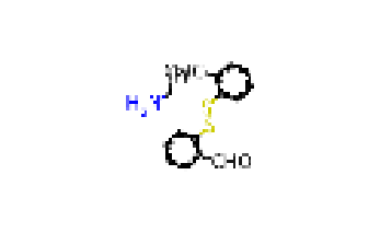 CC(C)CN.O=Cc1ccccc1SSc1ccccc1C=O